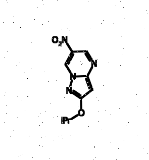 CC(C)Oc1cc2ncc([N+](=O)[O-])cn2n1